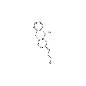 [O-][S+]1c2ccccc2Cc2ccc(SCCO)cc21